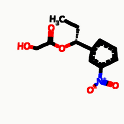 CC[C@@H](OC(=O)CO)c1cccc([N+](=O)[O-])c1